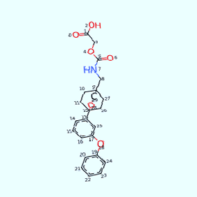 O=C(O)COC(=O)NCC12CCC(c3cccc(Oc4ccccc4)c3)(CC1)OC2